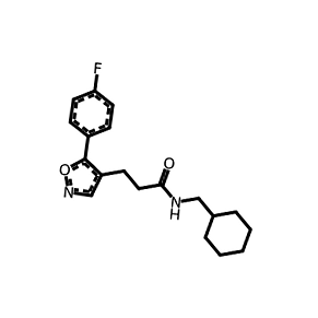 O=C(CCc1cnoc1-c1ccc(F)cc1)NCC1CCCCC1